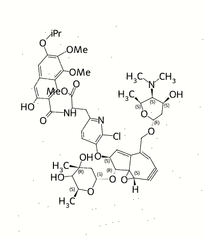 COC(=O)C(Cc1ccc(O[C@H]2C=C3C(CO[C@H]4C[C@H](O)[C@H](N(C)C)[C@H](C)O4)=CC#C[C@@H]4OC34[C@@H]2O[C@H]2C[C@@](C)(O)C(O)[C@H](C)O2)c(Cl)n1)NC(=O)c1cc2c(OC)c(OC)c(OC(C)C)cc2cc1O